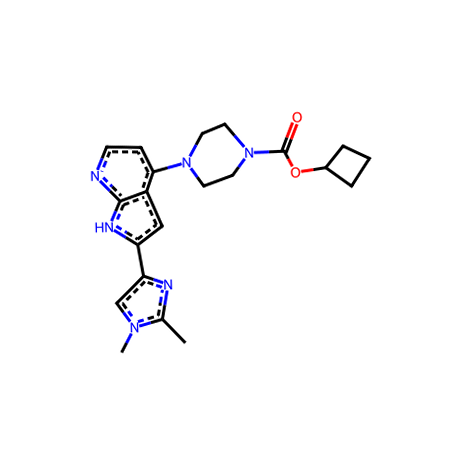 Cc1nc(-c2cc3c(N4CCN(C(=O)OC5CCC5)CC4)ccnc3[nH]2)cn1C